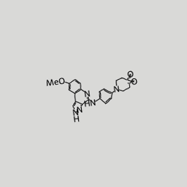 COc1ccc2nc(Nc3ccc(N4CCS(=O)(=O)CC4)cc3)c3n[nH]cc3c2c1